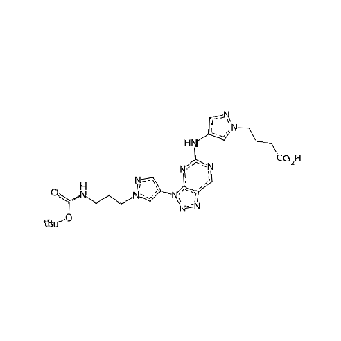 CC(C)(C)OC(=O)NCCCn1cc(-n2nnc3cnc(Nc4cnn(CCCC(=O)O)c4)nc32)cn1